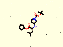 CC(C)C[C@@H](NC1CCN(C(=O)OC(C)(C)C)C1)C(=O)OC1CCCC1